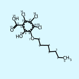 CCCCCCCOc1c(O)c(C(=O)O)c(Cl)c(Cl)c1Cl